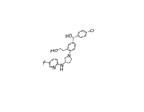 OCCc1cc(C(O)c2ccc(Cl)cc2)ccc1N1CCC(Nc2ccc(F)cn2)C1